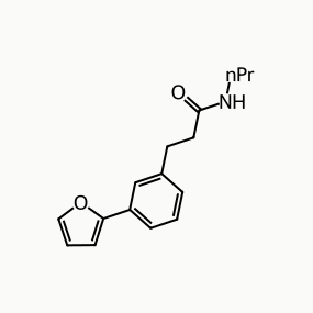 CCCNC(=O)CCc1cccc(-c2ccco2)c1